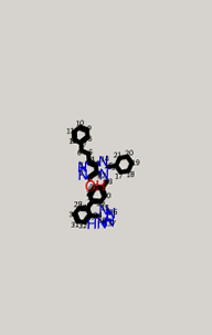 Oc1nnc(CCc2ccccc2)c2nc(C3CCCCC3)n(Cc3ccc(-c4ccccc4-c4nnn[nH]4)cc3)c12